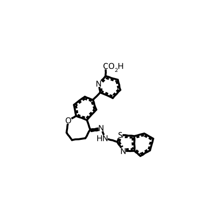 O=C(O)c1cccc(-c2ccc3c(c2)C(=NNc2nc4ccccc4s2)CCCO3)n1